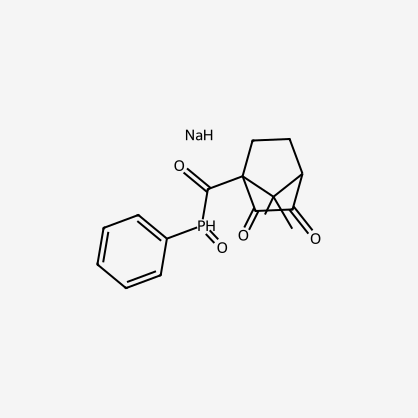 CC1(C)C2CCC1(C(=O)[PH](=O)c1ccccc1)C(=O)C2=O.[NaH]